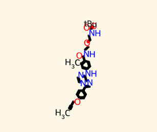 CC#CCOc1ccc(-c2cnc3c(Nc4ccc(C(=O)NCCOCCNC(=O)OC(C)(C)C)c(C)c4)nccn23)cc1